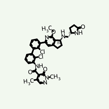 COc1nc(-c2cccc(-c3cccc(NC(=O)c4c(C)cnn(C)c4=O)c3Cl)c2Cl)cc2c1[C@@H](NC[C@@H]1CCC(=O)N1)CC2